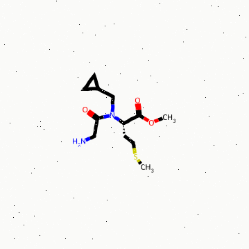 COC(=O)[C@H](CCSC)N(CC1CC1)C(=O)CN